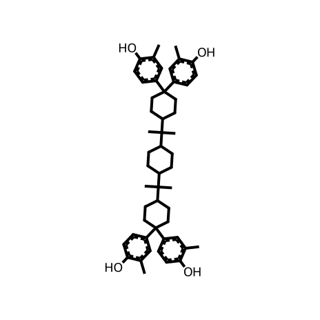 Cc1cc(C2(c3ccc(O)c(C)c3)CCC(C(C)(C)C3CCC(C(C)(C)C4CCC(c5ccc(O)c(C)c5)(c5ccc(O)c(C)c5)CC4)CC3)CC2)ccc1O